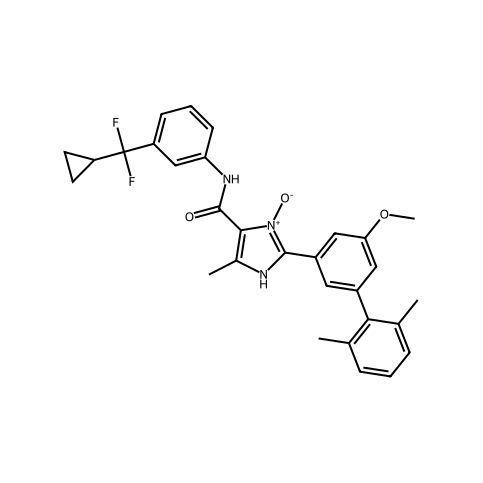 COc1cc(-c2c(C)cccc2C)cc(-c2[nH]c(C)c(C(=O)Nc3cccc(C(F)(F)C4CC4)c3)[n+]2[O-])c1